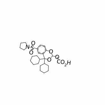 O=C(O)OC1Oc2ccc(S(=O)(=O)N3CCCC3)cc2C(C2CCCCC2)(C2CCCCC2)O1